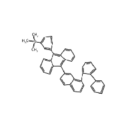 C[Si](C)(C)c1cccc(-c2c3ccccc3c(-c3ccc4cccc(-c5ccccc5-c5ccccc5)c4c3)c3ccccc23)c1